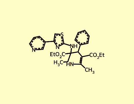 CCOC(=O)C1=C(C)NC(C)C(Nc2nc(-c3cccnc3)cs2)(C(=O)OCC)C1c1ccccc1